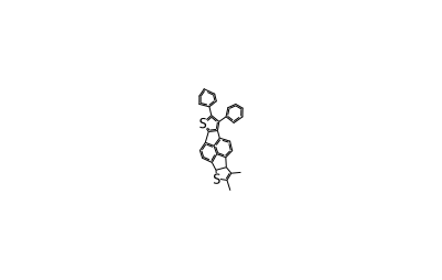 CC1=C(C)C2c3ccc4c5c(ccc(c35)C2S1)-c1sc(-c2ccccc2)c(-c2ccccc2)c1-4